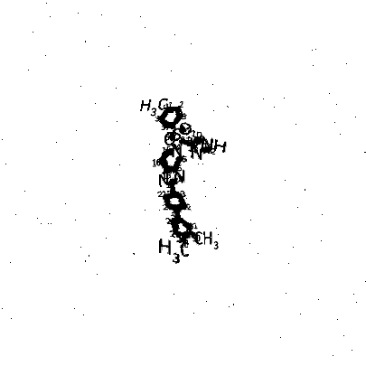 Cc1ccc(S(=O)(=O)C(c2c[nH]cn2)n2ccc3nc(-c4ccc(-c5ccc(C)c(C)c5)cc4)nc-3c2)cc1